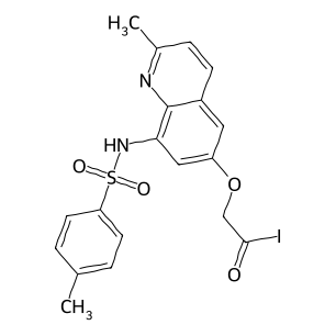 Cc1ccc(S(=O)(=O)Nc2cc(OCC(=O)I)cc3ccc(C)nc23)cc1